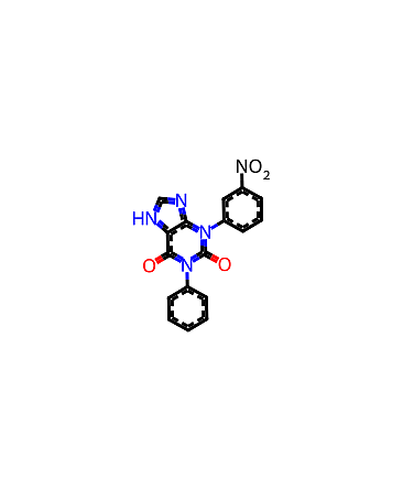 O=c1c2[nH]cnc2n(-c2cccc([N+](=O)[O-])c2)c(=O)n1-c1ccccc1